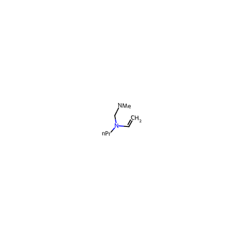 C=CN(CCC)CNC